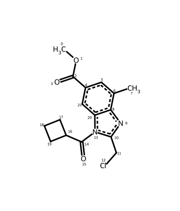 COC(=O)c1cc(C)c2nc(CCl)n(C(=O)C3CCC3)c2c1